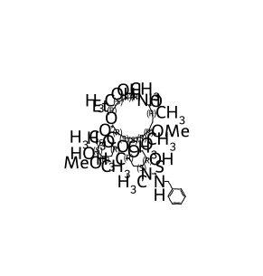 CC[C@H]1OC(=O)[C@H](C)[C@@H](O[C@H]2C[C@@](C)(OC)[C@@H](O)[C@H](C)O2)[C@H](C)[C@@H](OC2O[C@H](C)C[C@H](N(C)C(=S)NCc3ccccc3)[C@H]2O)[C@](C)(OC)C[C@@H](C)C(=O)N[C@H](C)[C@@H](O)[C@]1(C)O